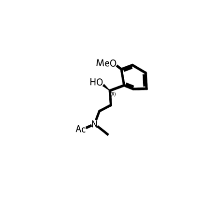 COc1ccccc1[C@H](O)CCN(C)C(C)=O